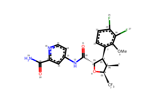 COc1c([C@H]2[C@@H](C)[C@@H](C(F)(F)F)O[C@@H]2C(=O)Nc2ccnc(C(N)=O)c2)ccc(F)c1F